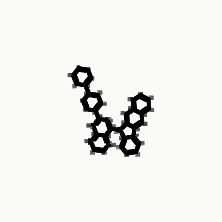 c1ccc(-c2ccc(-c3nc(-n4c5ccccc5c5cc6ccccc6cc54)c4nccnc4n3)cc2)cc1